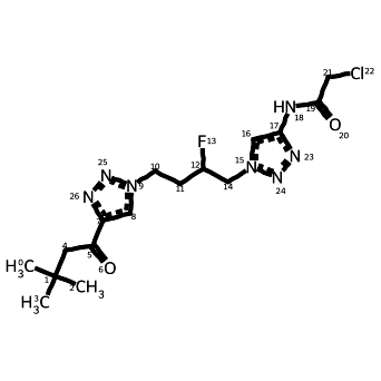 CC(C)(C)CC(=O)c1cn(CCC(F)Cn2cc(NC(=O)CCl)nn2)nn1